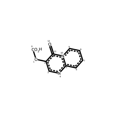 O=C(O)Oc1cnc2ccccn2c1=O